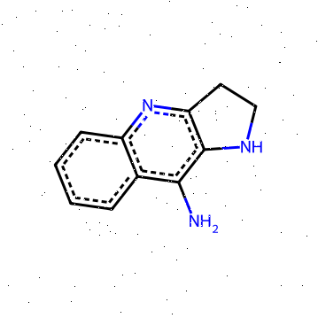 Nc1c2c(nc3ccccc13)CCN2